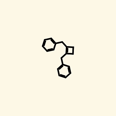 c1ccc(CC2=C(Cc3ccccc3)CC2)cc1